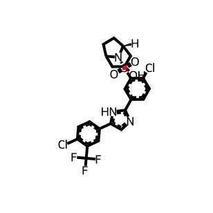 O=S(=O)(c1cc(-c2ncc(-c3ccc(Cl)c(C(F)(F)F)c3)[nH]2)ccc1Cl)N1C2CC[C@@H]1CC(O)C2